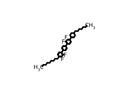 CCCCCCCCCc1ccc(-c2ccc(-c3ccc(C4=CCC(CCCCCCC)CC4)c(F)c3F)cc2)c(F)c1F